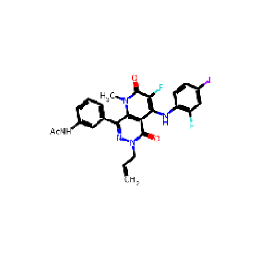 C=CCn1nc(-c2cccc(NC(C)=O)c2)c2c(c(Nc3ccc(I)cc3F)c(F)c(=O)n2C)c1=O